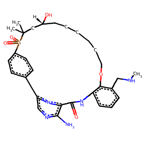 CNCc1cccc2c1OCCCCCC[C@@H](O)CC(C)(C)S(=O)(=O)c1ccc(cc1)-c1cnc(N)c(n1)C(=O)N2